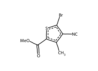 [C-]#[N+]c1c(Br)sc(C(=O)OC)c1C